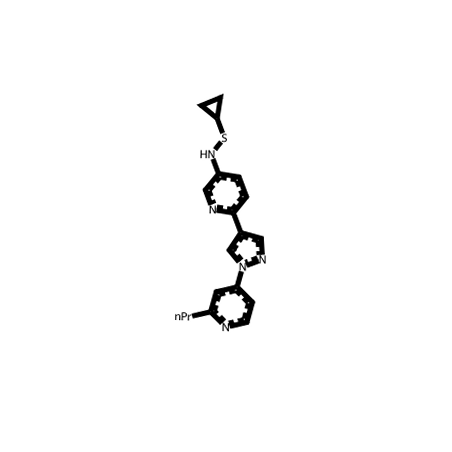 CCCc1cc(-n2cc(-c3ccc(NSC4CC4)cn3)cn2)ccn1